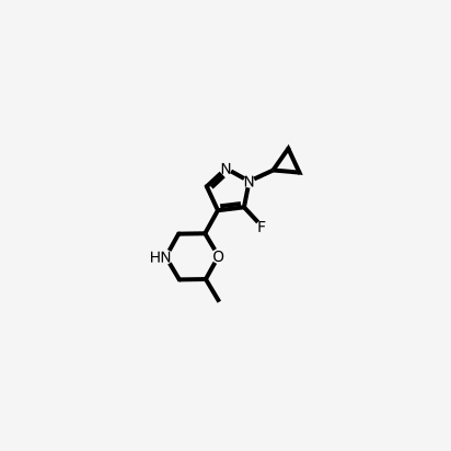 CC1CNCC(c2cnn(C3CC3)c2F)O1